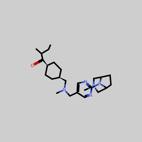 CCC(C)C(=O)[C@H]1CC[C@@H](CN(C)Cc2cnc(N3C4CCC3CN(C)C4)nc2)CC1